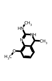 CNC1=Nc2c(OC)cccc2C(C)N1